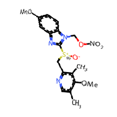 COc1ccc2c(c1)nc([S@@+]([O-])Cc1ncc(C)c(OC)c1C)n2CO[N+](=O)[O-]